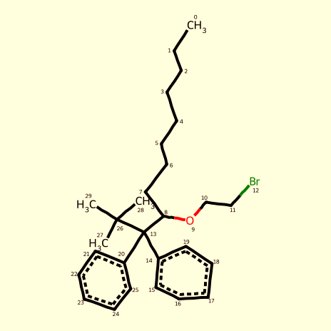 CCCCCCCCC(OCCBr)C(c1ccccc1)(c1ccccc1)C(C)(C)C